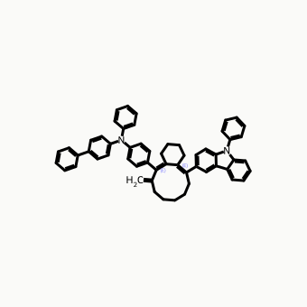 C=C1CCCCC/C(c2ccc3c(c2)c2ccccc2n3-c2ccccc2)=C2/CCCC/C2=C/1c1ccc(N(c2ccccc2)c2ccc(-c3ccccc3)cc2)cc1